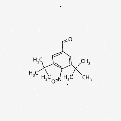 CC(C)(C)c1cc(C=O)cc(C(C)(C)C)c1N=O